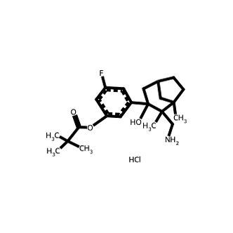 CC(C)(C)C(=O)Oc1cc(F)cc(C2(O)CC3CCC(C)(C3)C2(C)CN)c1.Cl